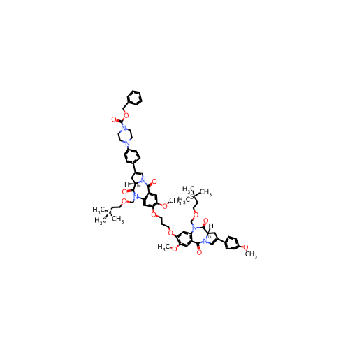 COc1ccc(C2=CN3C(=O)c4cc(OC)c(OCCCOc5cc6c(cc5OC)C(=O)N5C=C(c7ccc(N8CCN(C(=O)OCc9ccccc9)CC8)cc7)C[C@H]5C(=O)N6COCC[Si](C)(C)C)cc4N(COCC[Si](C)(C)C)C(=O)[C@@H]3C2)cc1